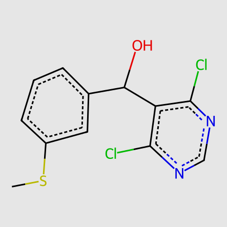 CSc1cccc(C(O)c2c(Cl)ncnc2Cl)c1